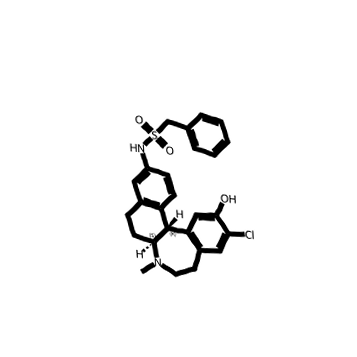 CN1CCc2cc(Cl)c(O)cc2[C@H]2c3ccc(NS(=O)(=O)Cc4ccccc4)cc3CC[C@@H]21